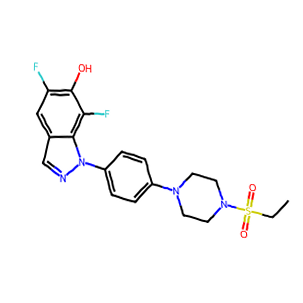 CCS(=O)(=O)N1CCN(c2ccc(-n3ncc4cc(F)c(O)c(F)c43)cc2)CC1